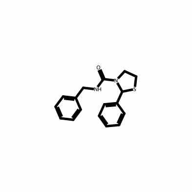 O=C(NCc1ccccc1)N1CCSC1c1ccccc1